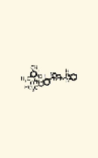 Cc1cc(C)c(C(=O)NC(Cc2ccc(-c3ncc(CNc4nc5ccccc5[nH]4)[nH]3)cc2)C(=O)O)c(C)c1